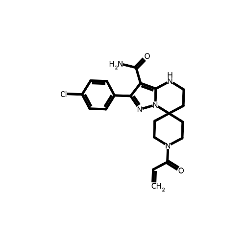 C=CC(=O)N1CCC2(CCNc3c(C(N)=O)c(-c4ccc(Cl)cc4)nn32)CC1